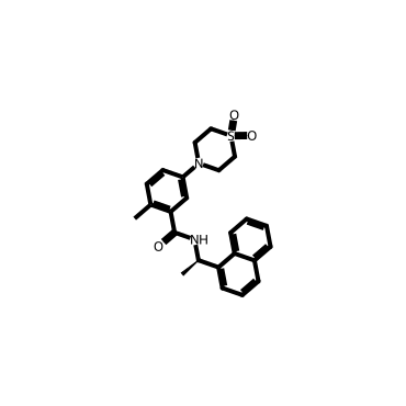 Cc1ccc(N2CCS(=O)(=O)CC2)cc1C(=O)N[C@H](C)c1cccc2ccccc12